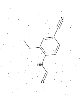 CCc1cc(C#N)ccc1NC=O